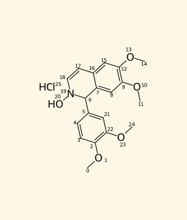 COc1ccc(C2c3cc(OC)c(OC)cc3C=CN2O)cc1OC.Cl